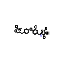 CN1C(=O)OCC1Cc1ccc(Oc2ccc(/C=C3\SC(=S)NC3=O)cc2Cl)cc1